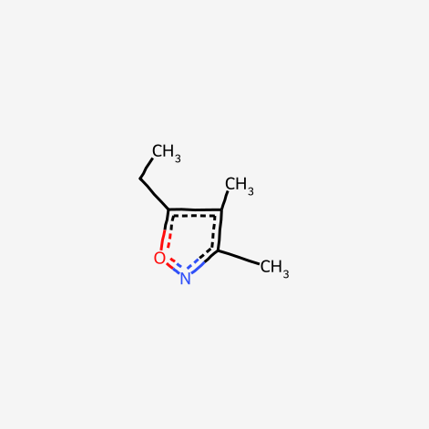 CCc1onc(C)c1C